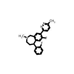 Cc1ccc(-c2cc3c(cc2F)C(c2ccccc2F)CCN(C)C3)nn1